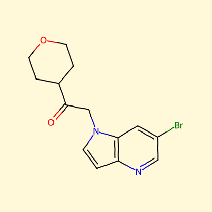 O=C(Cn1ccc2ncc(Br)cc21)C1CCOCC1